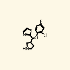 Fc1ccc(OC(c2nccs2)C2CCNC2)c(Cl)c1